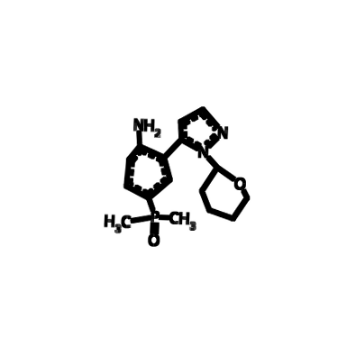 CP(C)(=O)c1ccc(N)c(-c2ccnn2C2CCCCO2)c1